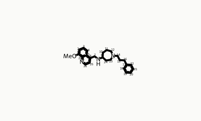 COc1cccc2c(CNC3CCCN(CCCc4ccccc4)CC3)ccnc12